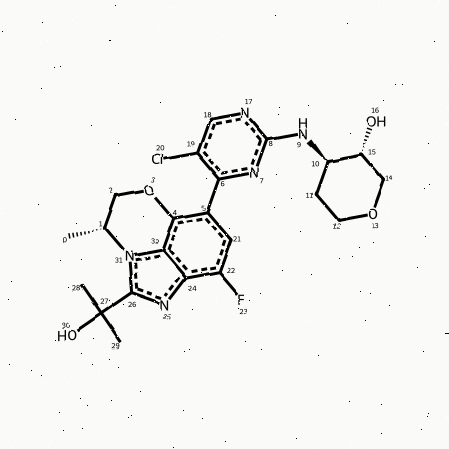 C[C@@H]1COc2c(-c3nc(N[C@@H]4CCOC[C@H]4O)ncc3Cl)cc(F)c3nc(C(C)(C)O)n1c23